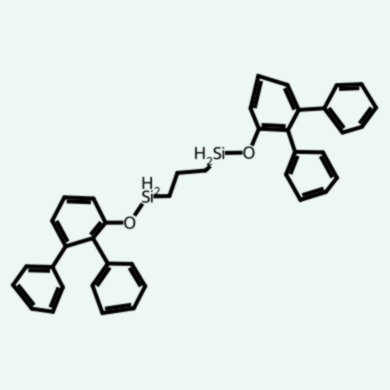 c1ccc(-c2cccc(O[SiH2]CCC[SiH2]Oc3cccc(-c4ccccc4)c3-c3ccccc3)c2-c2ccccc2)cc1